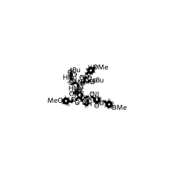 COc1ccc(COC(=O)C2=C(C[N+]3(CCNC(=O)c4cc(=O)c(OCc5ccc(OC)cc5)cn4C)CCCC3)CS[C@@H]3[C@H](NC(=O)/C(=N\O[C@@H](CC(=O)OC(C)(C)C)C(=O)OCc4ccc(OC)cc4)c4csc(NC(=O)OC(C)(C)C)n4)C(=O)N23)cc1